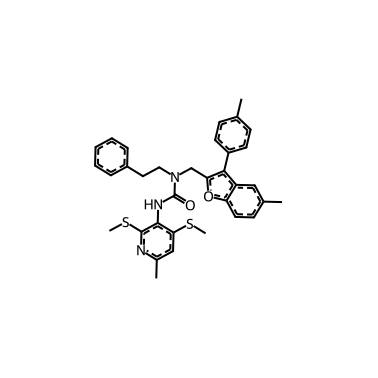 CSc1cc(C)nc(SC)c1NC(=O)N(CCc1ccccc1)Cc1oc2ccc(C)cc2c1-c1ccc(C)cc1